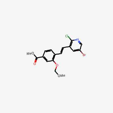 COCOc1cc(C(=O)OC)ccc1C=Cc1cc(Br)cnc1Cl